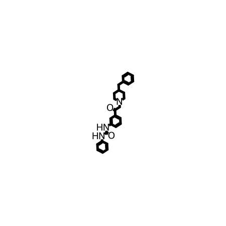 O=C(Nc1ccccc1)Nc1cccc(C(=O)CN2CCC(Cc3ccccc3)CC2)c1